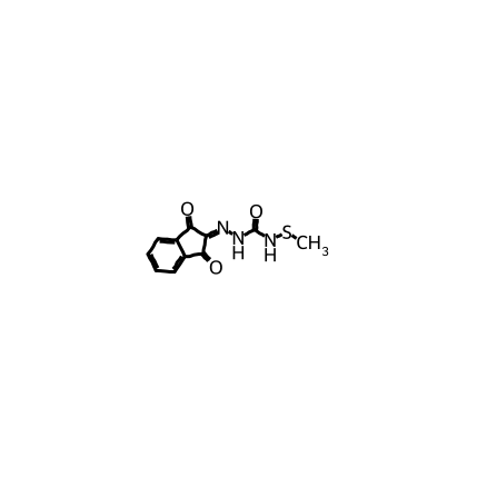 CSNC(=O)NN=c1c(=O)c2ccccc2c1=O